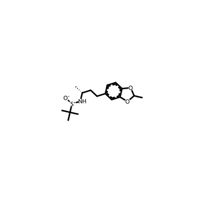 CC1Oc2ccc(CC[C@@H](C)N[S@+]([O-])C(C)(C)C)cc2O1